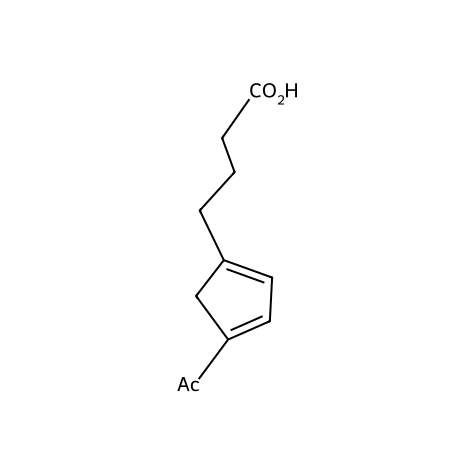 CC(=O)C1=CC=C(CCCC(=O)O)C1